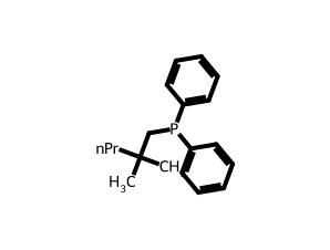 CCCC(C)(C)CP(c1ccccc1)c1ccccc1